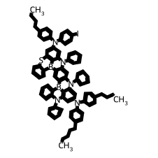 CCCCCc1ccc(N(c2ccc(CCCC)cc2)c2cc3c4c(c2)N(c2ccccc2)c2cc5c(cc2B4c2ccccc2N3c2ccccc2)B2c3ccccc3Sc3cc(N(c4ccc(I)cc4)c4ccc(CCCC)cc4)cc(c32)N5c2ccccc2)cc1